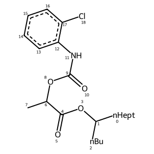 CCCCCCCC(CCCC)OC(=O)C(C)OC(=O)Nc1ccccc1Cl